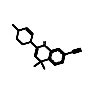 C#Cc1ccc2c(c1)NC(C1C=CC(C)CC1)=CC2(C)C